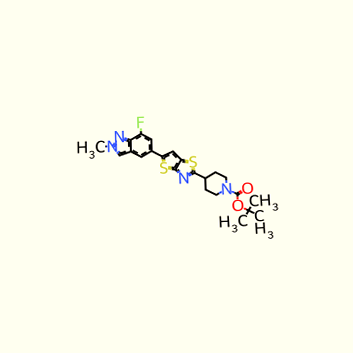 Cn1cc2cc(-c3cc4sc(C5CCN(C(=O)OC(C)(C)C)CC5)nc4s3)cc(F)c2n1